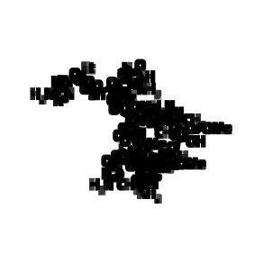 C=C1N=C(N)C(C)=CN1[C@@H]1O[C@H](COP(=O)(S)OC2[C@@H](COP(=O)(S)OC3[C@@H](COP(=O)(O)OC4[C@@H](COP(=O)(O)OC5[C@@H](COP(=O)(S)OC6C[C@H](n7cnc8c(N)ncnc87)O[C@@H]6CC)O[C@@H](n6cnc7c(=O)[nH]c(N)nc76)[C@H]5OCCOC)O[C@@H](n5cc(C)c(N)nc5=O)[C@H]4OCCOC)O[C@@H](n4cc(C)c(N)nc4=O)[C@H]3OCCOC)O[C@@H](n3cnc4c(N)ncnc43)[C@H]2OCCOC)C(O)[C@@H]1OCCOC